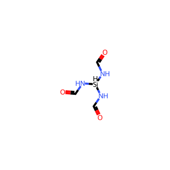 O=CN[SiH](NC=O)NC=O